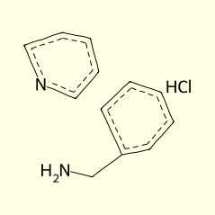 Cl.NCc1ccccc1.c1ccncc1